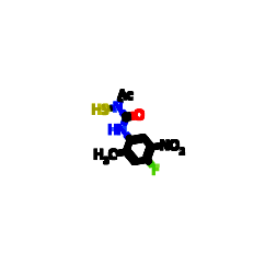 CC(=O)N(S)C(=O)Nc1cc([N+](=O)[O-])c(F)cc1C